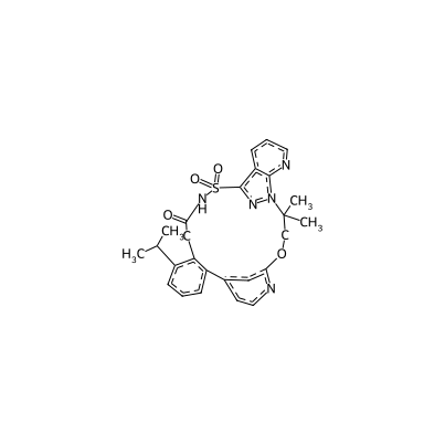 CC(C)c1cccc2c1CC(=O)NS(=O)(=O)c1nn(c3ncccc13)C(C)(C)COc1cc-2ccn1